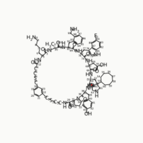 C[C@H]1NC(=O)[C@H](CCCCN)NC(=O)CCSCc2cccc(c2)CSCCNC(=O)[C@@H]2CCCN2C(=O)[C@H](Cc2ccc(O)cc2)NC(=O)[C@H](C[C@@]2(C3CCCCCCC3)CNCN2)NC(=O)[C@H](CC(=O)O)NC(=O)[C@H](Cc2c[nH]c3ccc(F)cc23)NC(=O)[C@H](Cc2ccccc2CN)NC1=O